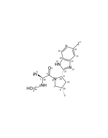 CC(C)[C@H](NC(=O)O)C(=O)N1C[C@@H](C)C[C@H]1c1nc2cc(I)ccc2[nH]1